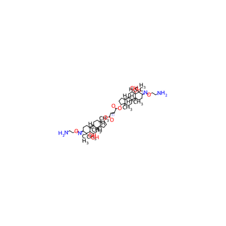 CC1(C)/C(=N/OCCN)CC[C@]2(C)[C@@H]3CC[C@]4(C)C(OC(=O)/C=C/C(=O)OC5CC[C@H]6[C@@H]7CC(O)C8(O)C(C)(C)/C(=N/OCCN)CC[C@]8(C)[C@@H]7CC[C@]56C)CC[C@H]4[C@@H]3CC(O)C12O